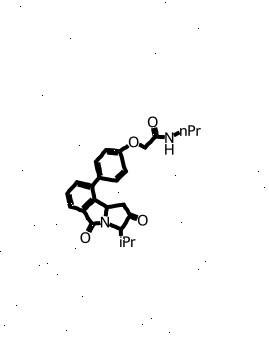 CCCNC(=O)COc1ccc(-c2cccc3c2C2CC(=O)C(C(C)C)N2C3=O)cc1